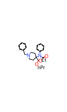 CCCOC(=O)C1(N(C(=O)CC)c2ccccc2)CCN(Cc2ccccc2)CC1